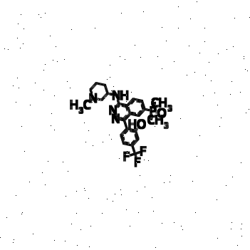 CN1CCC[C@@H](Nc2nnc(-c3ccc(C(F)(F)F)cc3O)c3cc(P(C)(C)=O)ccc23)C1